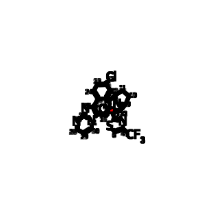 O=C(c1nc(C(F)(F)F)cs1)N1C2CCC1CN(Cc1c(-c3ccc(Cl)cc3)nc3ncccn13)C2